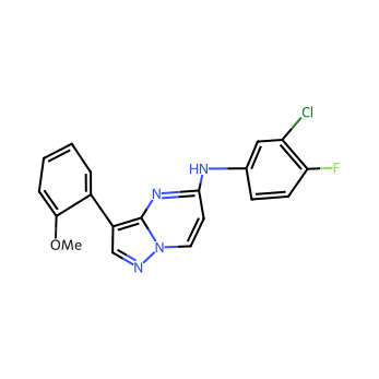 COc1ccccc1-c1cnn2ccc(Nc3ccc(F)c(Cl)c3)nc12